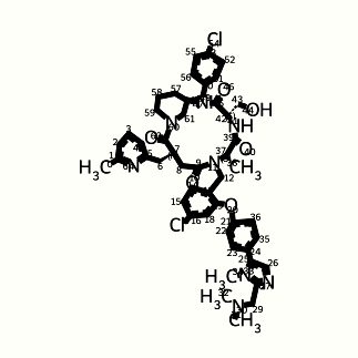 Cc1cccc(C[C@@H]2CC(=O)N(Cc3ccc(Cl)cc3Oc3ccc(-c4cnc(CN(C)C)n4C)cc3)[C@@H](C)C(=O)N[C@@H](CO)C(=O)N[C@@]3(Cc4ccc(Cl)cc4)CCCN(C3)C2=O)n1